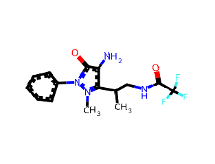 CC(CNC(=O)C(F)(F)F)c1c(N)c(=O)n(-c2ccccc2)n1C